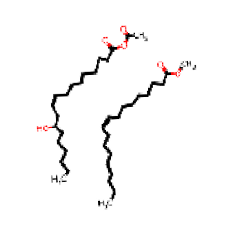 CCCCCCC(O)C/C=C\CCCCCCCC(=O)OC(C)=O.CCCCCCCC/C=C\CCCCCCCC(=O)OC